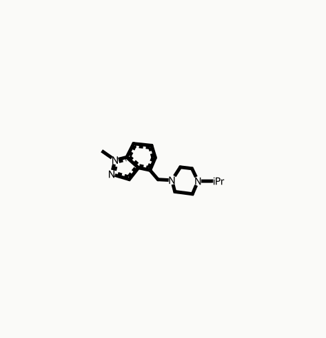 CC(C)N1CCN(Cc2cccc3c2cnn3C)CC1